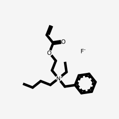 C=CC(=O)OCC[N+](CC)(CCCC)Cc1ccccc1.[F-]